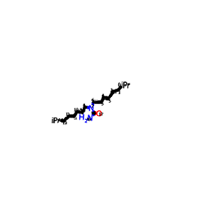 CC(C)CCCCCCN(CCCCCCC(C)C)C(N)=O